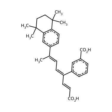 CC(=CC=C(C=CC(=O)O)c1cccc(C(=O)O)c1)c1ccc2c(c1)C(C)(C)CCC2(C)C